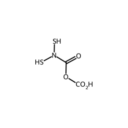 O=C(O)OC(=O)N(S)S